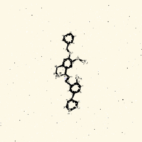 COc1cc2c(cc1OCc1ccccc1)CCNC2/C=C/c1cc(-c2ccnnc2)ccc1C